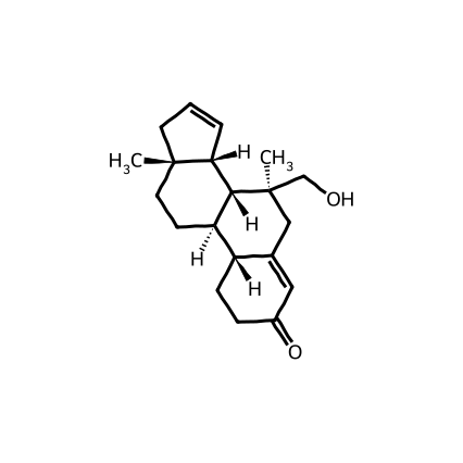 C[C@]1(CO)CC2=CC(=O)CC[C@@H]2[C@H]2CC[C@]3(C)CC=C[C@@H]3[C@@H]21